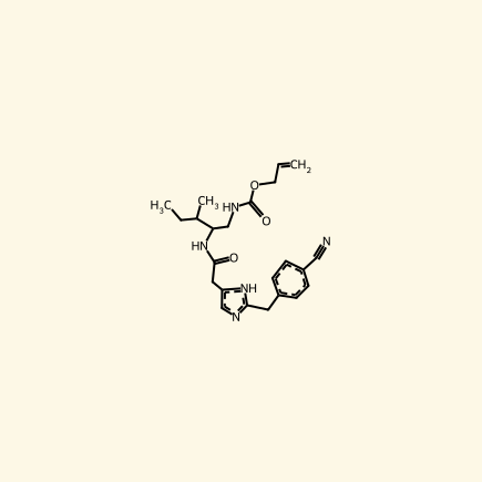 C=CCOC(=O)NCC(NC(=O)Cc1cnc(Cc2ccc(C#N)cc2)[nH]1)C(C)CC